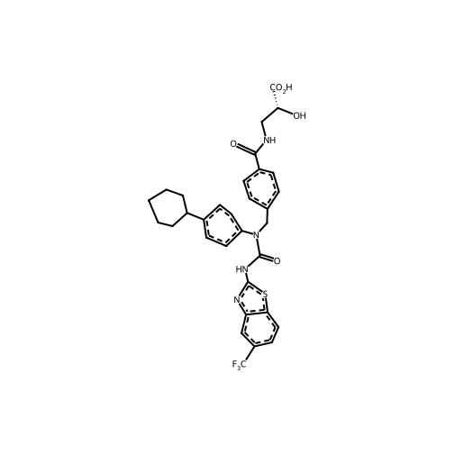 O=C(NC[C@@H](O)C(=O)O)c1ccc(CN(C(=O)Nc2nc3cc(C(F)(F)F)ccc3s2)c2ccc(C3CCCCC3)cc2)cc1